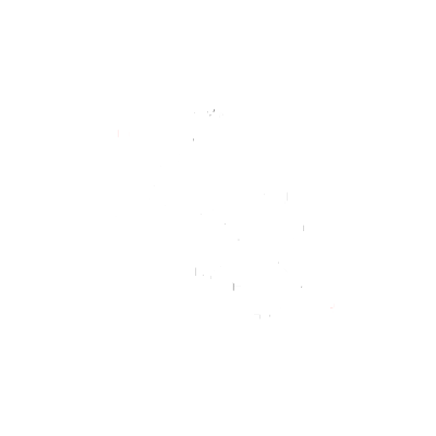 COc1cc(C(C)(C(C)(C)C(C)(C)O)S(=O)(=O)O)cc(C)c1O